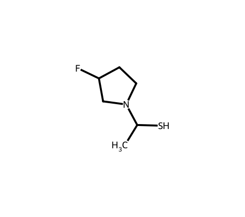 CC(S)N1CCC(F)C1